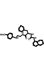 COc1ccc(NCCNC(=O)C(Cc2ccccc2)NC(=O)Nc2cccc3ccccc23)cc1